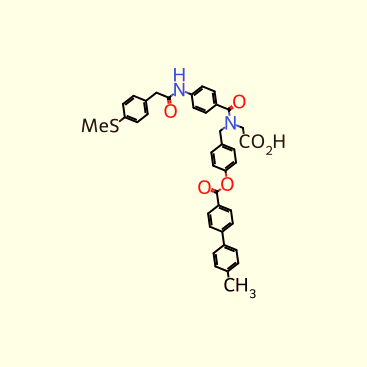 CSc1ccc(CC(=O)Nc2ccc(C(=O)N(CC(=O)O)Cc3ccc(OC(=O)c4ccc(-c5ccc(C)cc5)cc4)cc3)cc2)cc1